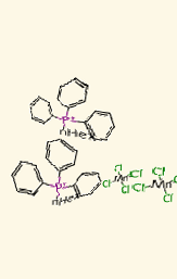 CCCCCC[P+](c1ccccc1)(c1ccccc1)c1ccccc1.CCCCCC[P+](c1ccccc1)(c1ccccc1)c1ccccc1.[Cl][Mn-]([Cl])([Cl])[Cl].[Cl][Mn-]([Cl])([Cl])[Cl]